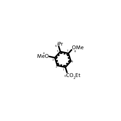 CCOC(=O)c1cc(OC)c(C(C)C)c(OC)c1